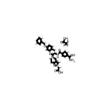 N=C(N)c1ccc(C(=O)N[C@@H](Cc2ccc(OCc3ccccc3)cc2)C(=O)N2CCc3nn(CC(=O)O)cc3C2)cc1.O=C(O)C(F)(F)F